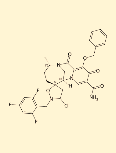 C[C@H]1CC[C@]2(CC(Cl)N(Cc3c(F)cc(F)cc3F)O2)[C@H]2CN1C(=O)c1c(OCc3ccccc3)c(=O)c(C(N)=O)cn12